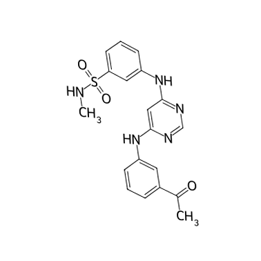 CNS(=O)(=O)c1cccc(Nc2cc(Nc3cccc(C(C)=O)c3)ncn2)c1